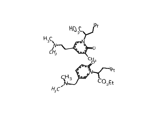 CCOC(=O)C(CC(C)C)n1cc(CN(C)C)ccc1=O.Cc1cc(CCN(C)C)cn(C(CC(C)C)C(=O)O)c1=O